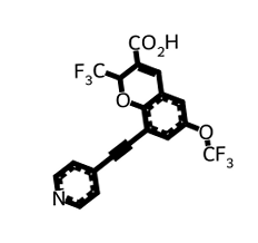 O=C(O)C1=Cc2cc(OC(F)(F)F)cc(C#Cc3ccncc3)c2OC1C(F)(F)F